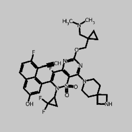 C#Cc1c(F)ccc2cc(O)cc(C3=C(F)c4nc(OCC5(CN(C)C)CC5)nc(N5CCC6(CC5)CNC6)c4S(=O)(=O)N3C3CC3(F)F)c12